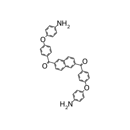 Nc1ccc(Oc2ccc(C(=O)c3ccc4cc(C(=O)c5ccc(Oc6ccc(N)cc6)cc5)ccc4c3)cc2)cc1